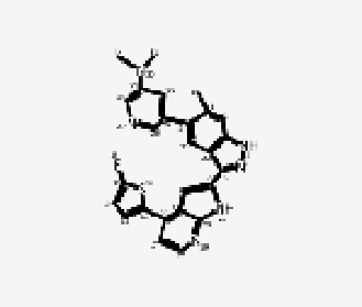 Cc1cc2[nH]nc(-c3cc4c(-c5ccc(F)s5)ccnc4[nH]3)c2cc1-c1cncc(N(C)C)c1